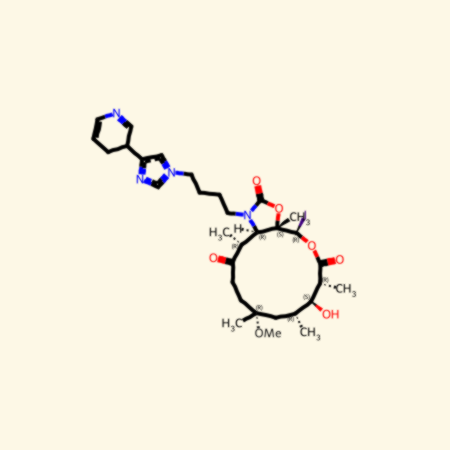 CO[C@]1(C)CCC(=O)[C@H](C)[C@H]2N(CCCCn3cnc(C4C=NC=CC4)c3)C(=O)O[C@]2(C)[C@@H](I)OC(=O)[C@H](C)[C@@H](O)[C@H](C)C1